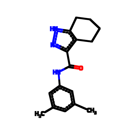 Cc1cc(C)cc(NC(=O)c2n[nH]c3c2CCCC3)c1